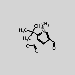 C[n+]1cc(C=O)ccc1C(C)(C)C.O=C[O-]